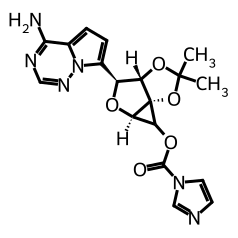 CC1(C)O[C@H]2[C@H](c3ccc4c(N)ncnn34)O[C@@H]3C(OC(=O)n4ccnc4)[C@@]32O1